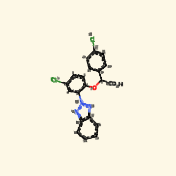 O=C(O)C(Oc1ccc(Cl)cc1-n1nc2ccccc2n1)c1ccc(Cl)cc1